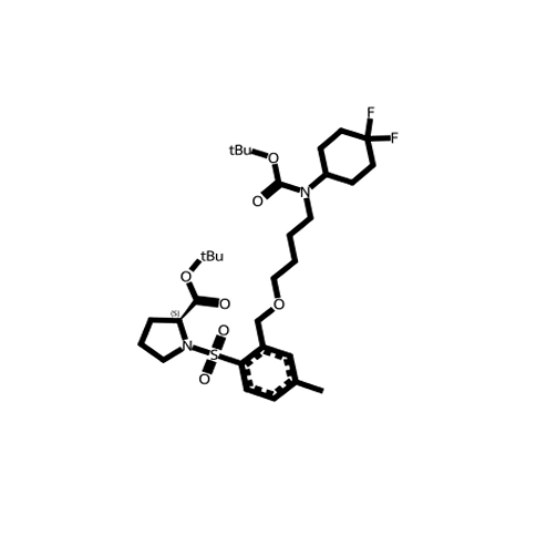 Cc1ccc(S(=O)(=O)N2CCC[C@H]2C(=O)OC(C)(C)C)c(COCCCCN(C(=O)OC(C)(C)C)C2CCC(F)(F)CC2)c1